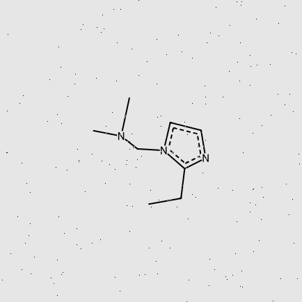 CCc1nccn1CN(C)C